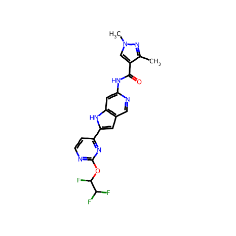 Cc1nn(C)cc1C(=O)Nc1cc2[nH]c(-c3ccnc(OC(F)C(F)F)n3)cc2cn1